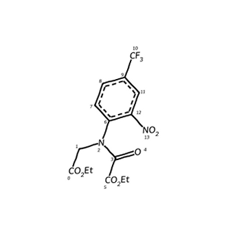 CCOC(=O)CN(C(=O)C(=O)OCC)c1ccc(C(F)(F)F)cc1[N+](=O)[O-]